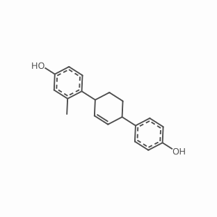 Cc1cc(O)ccc1C1C=CC(c2ccc(O)cc2)CC1